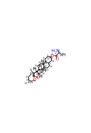 CC(C)C(N)C(=O)O[C@H]1CC[C@@]2(C)C(CC[C@H]3[C@@H]4C[C@@H]5O[C@]6(CC[C@@H](C)CO6)[C@@H](C)[C@@H]5[C@@]4(C)CC[C@@H]32)C1